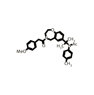 COc1ccc(CC(=O)N2CCOc3ccc(C(C)(C)N(C(C)=O)c4ccc(C)cc4)cc3C2)cc1